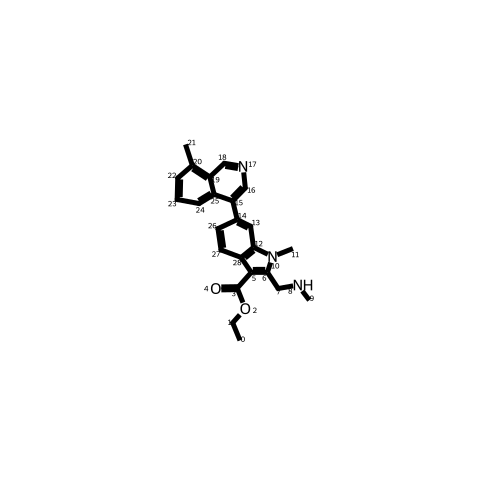 CCOC(=O)c1c(CNC)n(C)c2cc(-c3cncc4c(C)cccc34)ccc12